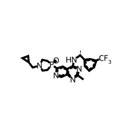 Cc1nc(N[C@H](C)c2cccc(C(F)(F)F)c2)c2cc(P3(=O)CCN(CC4CC4)CC3)ncc2n1